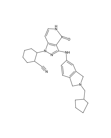 N#CC1CCCCC1n1nc(Nc2ccc3c(c2)CN(CC2CCCC2)C3)c2c(=O)[nH]ccc21